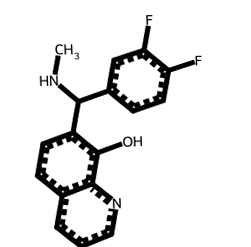 CNC(c1ccc(F)c(F)c1)c1ccc2cccnc2c1O